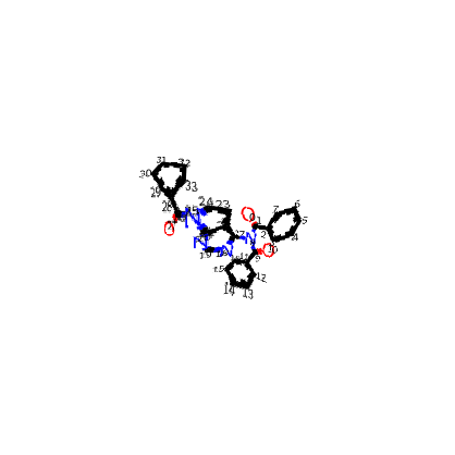 O=C(c1ccccc1)N(C(=O)c1ccccc1)c1ncnc2c1ccn2C(=O)c1ccccc1